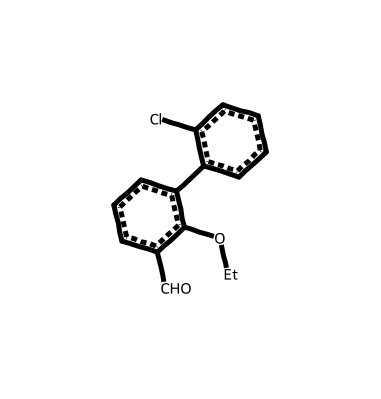 CCOc1c(C=O)cccc1-c1ccccc1Cl